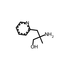 CC(N)(CO)Cc1ccccn1